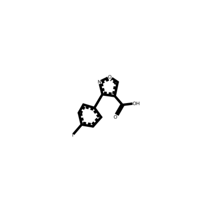 O=C(O)c1conc1-c1ccc(I)cc1